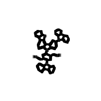 N=Cc1cc(-n2c3ccc(-n4c5ccccc5c5ccccc54)cc3c3c4oc5ccccc5c4ccc32)c(C=N)cc1-n1c2ccccc2c2ccccc21